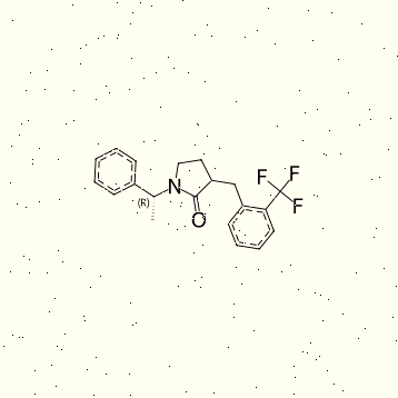 C[C@H](c1ccccc1)N1CCC(Cc2ccccc2C(F)(F)F)C1=O